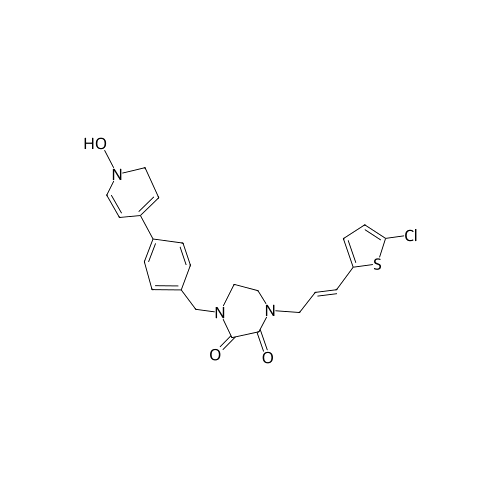 O=C1C(=O)N(Cc2ccc(C3=CCN(O)C=C3)cc2)CCN1C/C=C/c1ccc(Cl)s1